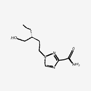 CC[C@@H](CO)CCn1cnc(C(N)=O)n1